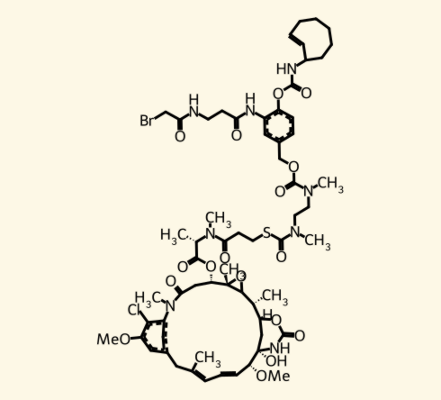 COc1cc2cc(c1Cl)N(C)C(=O)C[C@H](OC(=O)[C@H](C)N(C)C(=O)CCSC(=O)N(C)CCN(C)C(=O)OCc1ccc(OC(=O)NC3/C=C/CCCCC3)c(NC(=O)CCNC(=O)CBr)c1)[C@]1(C)OC1[C@H](C)[C@@H]1C[C@@](O)(NC(=O)O1)[C@H](OC)/C=C/C=C(\C)C2